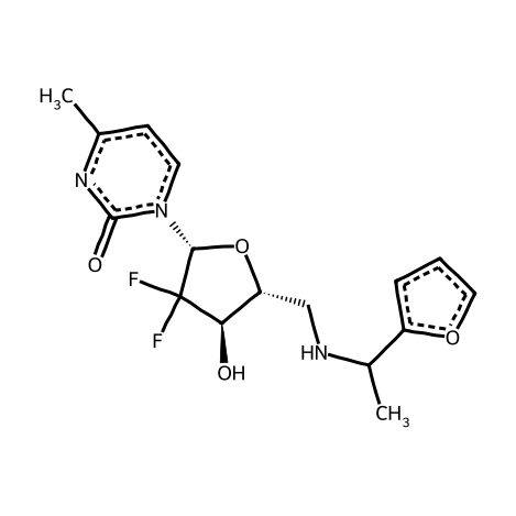 Cc1ccn([C@@H]2O[C@H](CNC(C)c3ccco3)[C@@H](O)C2(F)F)c(=O)n1